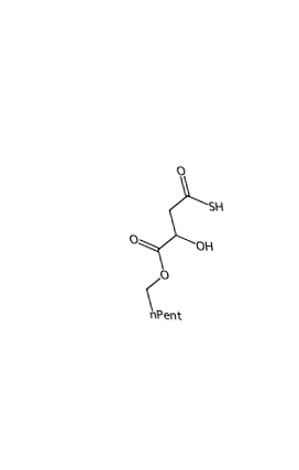 CCCCCCOC(=O)C(O)CC(=O)S